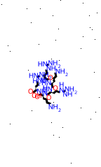 N=C(N)NCCC[C@H](NC(=O)[C@H](CCCCN)NC(=O)[C@H](CCCNC(=N)N)NC(=O)[C@H](CCCCN)NC(=O)[C@@H](N)CCCNC(=N)N)C(=O)O